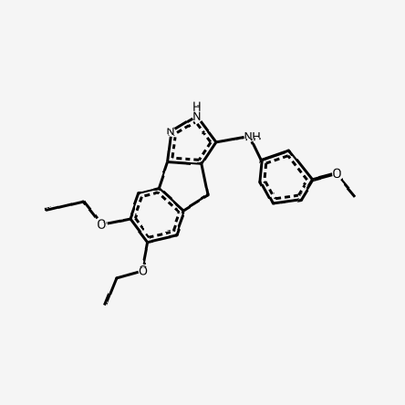 CCOc1cc2c(cc1OCC)-c1n[nH]c(Nc3cccc(OC)c3)c1C2